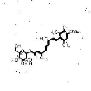 COc1cc(C)c(C=CC(C)=CC=CC(C)=CC(=O)OC2O[C@H](CO)[C@@H](O)[C@H](O)[C@H]2O)c(C)c1C